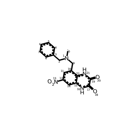 [CH2]N(Cc1ccccc1)Cc1cc([N+](=O)[O-])cc2[nH]c(=O)c(=O)[nH]c12